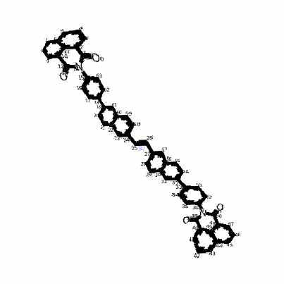 O=C1c2cccc3cccc(c23)C(=O)N1c1ccc(-c2ccc3cc(/C=C/c4ccc5cc(-c6ccc(N7C(=O)c8cccc9cccc(c89)C7=O)cc6)ccc5c4)ccc3c2)cc1